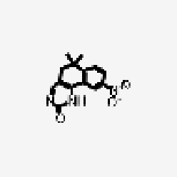 CC1(C)Cc2cnc(=O)[nH]c2-c2cc([N+](=O)[O-])ccc21